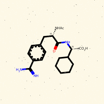 CC(=O)N[C@@H](Cc1ccc(C(=N)N)cc1)C(=O)N[C@H](C(=O)O)C1CCCCC1